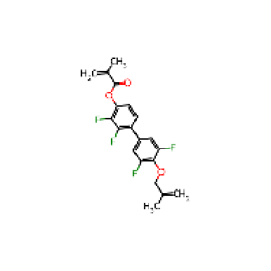 C=C(C)COc1c(F)cc(-c2ccc(OC(=O)C(=C)C)c(F)c2F)cc1F